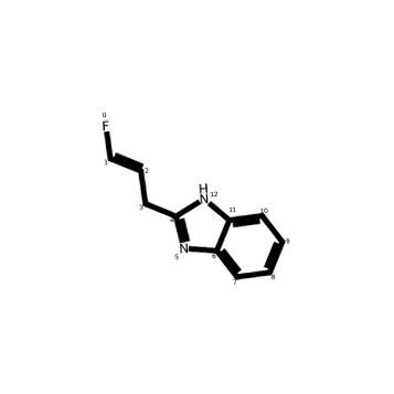 FC=CCc1nc2ccccc2[nH]1